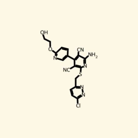 N#Cc1c(N)nc(SCc2ccc(Cl)nn2)c(C#N)c1-c1ccc(OCCO)nc1